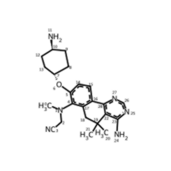 CN(CC#N)c1c(O[C@H]2CC[C@H](N)CC2)ccc2c1CC(C)(C)c1c(N)ncnc1-2